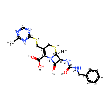 Cc1ncnc(SCC2=C(C(=O)O)N3C(=O)C(NC(=O)NCc4ccccc4)[C@@H]3SC2)n1